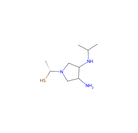 CC(C)NC1CN([C@@H](C)S)CC1N